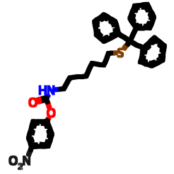 O=C(NCCCCCCSC(c1ccccc1)(c1ccccc1)c1ccccc1)Oc1ccc([N+](=O)[O-])cc1